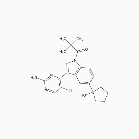 CC(C)(C)C(=O)n1cc(-c2nc(N)ncc2Cl)c2cc(C3(O)CCCC3)ccc21